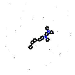 c1ccc(-c2ccc3ccc(-c4ccc5cc(N(c6ccccc6)c6ccc7c(c6)c6ccccc6n7-c6ccccc6)ccc5c4)cc3c2)cc1